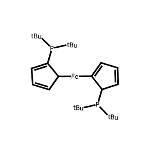 CC(C)(C)P(C1=CC=C[CH]1[Fe][C]1=CC=CC1P(C(C)(C)C)C(C)(C)C)C(C)(C)C